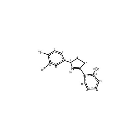 Fc1ccc(C2CCC(c3ccccc3Br)=N2)cc1F